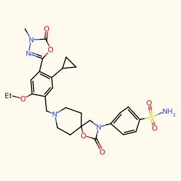 CCOc1cc(-c2nn(C)c(=O)o2)c(C2CC2)cc1CN1CCC2(CC1)CN(c1ccc(S(N)(=O)=O)cc1)C(=O)O2